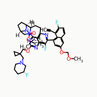 C#Cc1c(F)ccc2cc(OCOC)cc(-c3nc4c5c(nc(OCC6(CN7CCC[C@@H](F)C7)CC6)nc5c3F)N3C[C@H]5CC[C@@H]([C@H]3CC4)N5C(=O)OC(C)(C)C)c12